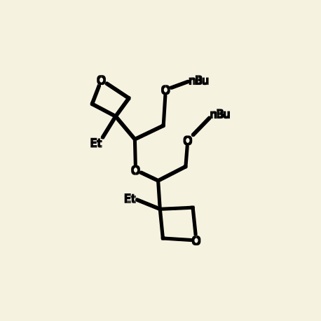 CCCCOCC(OC(COCCCC)C1(CC)COC1)C1(CC)COC1